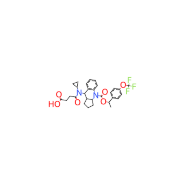 CC(OC(=O)N1c2ccccc2C(N(C(=O)CCC(=O)O)C2CC2)C2CCCC21)c1ccc(OC(F)(F)F)cc1